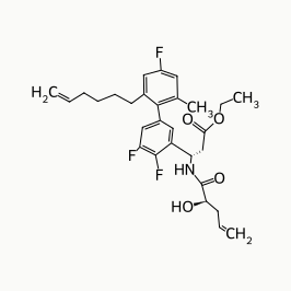 C=CCCCCc1cc(F)cc(C)c1-c1cc(F)c(F)c([C@H](CC(=O)OCC)NC(=O)[C@H](O)CC=C)c1